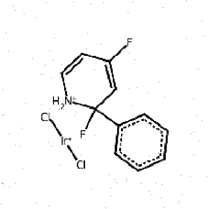 FC1=CC(F)(c2ccccc2)[NH2+]C=C1.[Cl][Ir+][Cl]